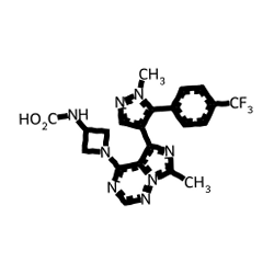 Cc1nc(-c2cnn(C)c2-c2ccc(C(F)(F)F)cc2)c2c(N3CC(NC(=O)O)C3)ncnn12